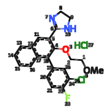 COCCOc1c(C2=NCCN2)cc2ccccc2c1-c1ccc(F)c(Cl)c1.Cl